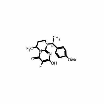 COc1ccc([C@H](C)N2CCC(C(F)(F)F)n3c2nc(O)c(F)c3=O)cc1